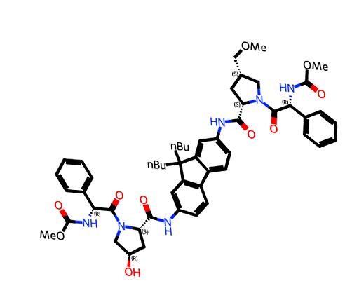 CCCCC1(CCCC)c2cc(NC(=O)[C@@H]3C[C@@H](O)CN3C(=O)[C@H](NC(=O)OC)c3ccccc3)ccc2-c2ccc(NC(=O)[C@@H]3C[C@H](COC)CN3C(=O)[C@H](NC(=O)OC)c3ccccc3)cc21